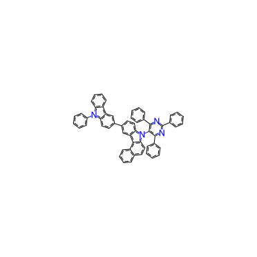 c1ccc(-c2nc(-c3ccccc3)c(-n3c4ccc(-c5ccc6c(c5)c5ccccc5n6-c5ccccc5)cc4c4c5ccccc5ccc43)c(-c3ccccc3)n2)cc1